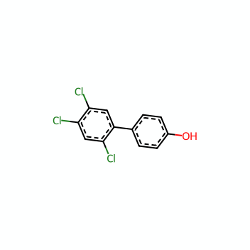 Oc1ccc(-c2cc(Cl)c(Cl)cc2Cl)cc1